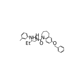 CCC(CNC(=O)N1CCCCc2cc(OCc3ccccc3)ccc21)Nc1cccc(C)c1